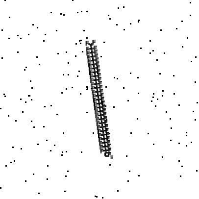 F[C](F)C(F)(F)C(F)(F)C(F)(F)C(F)(F)C(F)(F)C(F)(F)C(F)(F)C(F)(F)C(F)(F)C(F)(F)C(F)(F)C(F)(F)C(F)(F)C(F)(F)C(F)(F)C(F)(F)C(F)(F)C(F)(F)C(F)(F)C(F)(F)C(F)(F)C(F)(F)C(F)(F)C(F)(F)C(F)(F)C(F)(F)C(F)(F)C(F)(F)F